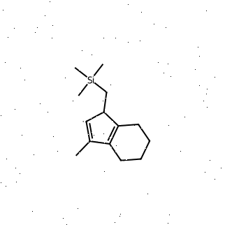 CC1=[C]C(C[Si](C)(C)C)C2=C1CCCC2